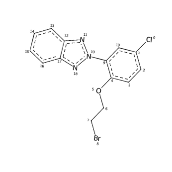 Clc1ccc(OCCBr)c(-n2nc3ccccc3n2)c1